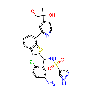 CC(O)(CO)c1ccnc(-c2cccc3cc(C(NS(=O)(=O)c4cn[nH]c4)c4cc(N)ccc4Cl)sc23)c1